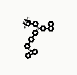 c1cc(-c2ccc(-c3ccc(N(c4ccc(-c5cccc6ccccc56)cc4)c4cccc(C56C[C@@H]7C[SH]78(C[C@H]8C5)C6)c4)cc3)cc2)cc(-n2c3ccccc3c3ccccc32)c1